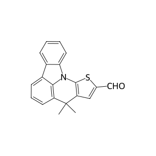 CC1(C)c2cc(C=O)sc2-n2c3ccccc3c3cccc1c32